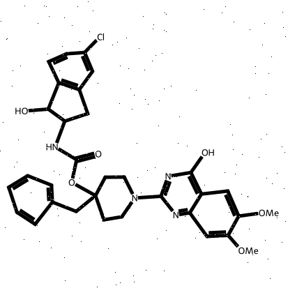 COc1cc2nc(N3CCC(Cc4ccccc4)(OC(=O)NC4Cc5cc(Cl)ccc5C4O)CC3)nc(O)c2cc1OC